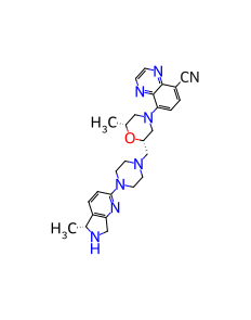 C[C@@H]1CN(c2ccc(C#N)c3nccnc23)C[C@H](CN2CCN(c3ccc4c(n3)CN[C@@H]4C)CC2)O1